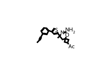 CC#Cc1cccc(-c2csc(C3(C)CC4(CC(C(C)=O)C4)OC(N)=N3)c2)c1